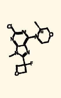 C[C@H]1COCCN1c1nc(Cl)nc2c1nc(C1(F)COC1)n2C